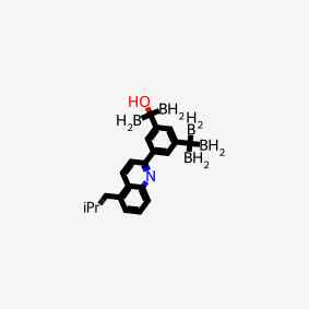 BC(B)(B)c1cc(-c2ccc3c(CC(C)C)cccc3n2)cc(C(B)(B)O)c1